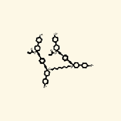 C=CC(=O)OC1(C#Cc2ccc(C#CC3(OCCCCCCCCOC4(C#Cc5ccc(C#CC6(OC(=O)C=C)CCC(C7CCC(CCC)CC7)CC6)cc5)CCC(C5CCC(CCC)CC5)CC4)CCC(C4CCC(CCC)CC4)CC3)cc2)CCC(C2CCC(CCC)CC2)CC1